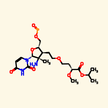 CO[C@H](CCOCC[C@@H]1[C@@H](COP=O)O[C@@H](n2ccc(=O)[nH]c2=O)[C@]1(C)N)C(=O)OC(C)C